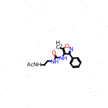 CC(=O)NCCNC(=O)Nc1c(-c2ccccc2)noc1C